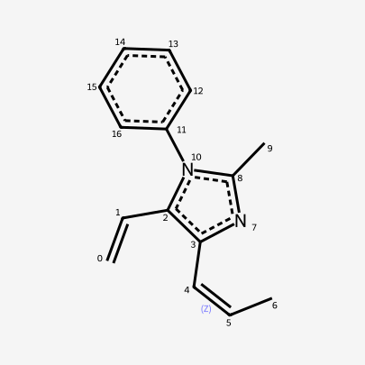 C=Cc1c(/C=C\C)nc(C)n1-c1ccccc1